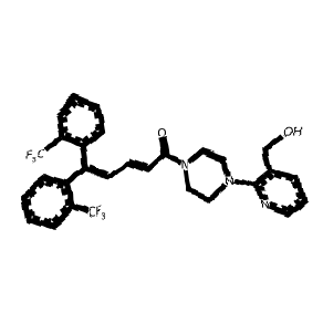 O=C(C=CC=C(c1ccccc1C(F)(F)F)c1ccccc1C(F)(F)F)N1CCN(c2ncccc2CO)CC1